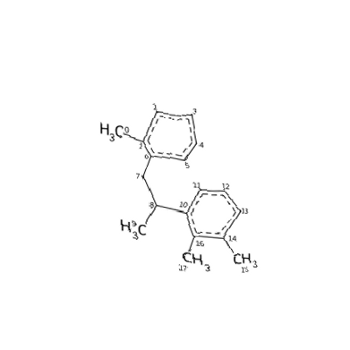 Cc1ccccc1CC(C)c1cccc(C)c1C